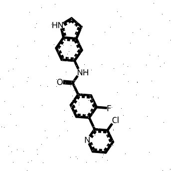 O=C(Nc1ccc2[nH]ccc2c1)c1ccc(-c2ncccc2Cl)c(F)c1